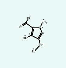 CCNc1cn(C)c(C(=O)CC)c1O